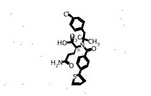 CC(C)(Cc1ccc(Cl)cc1)N(C(=O)c1ccc(-c2cccs2)cc1)[C@@H](CCC(N)=O)C(=O)O